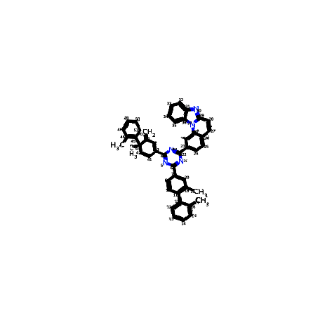 C=C1C=C(c2nc(-c3ccc(-c4ccccc4C)c(C)c3)nc(-c3ccc4ccc5nc6ccccc6n5c4c3)n2)C=CC1(C)C1=C(C)C=CCC1